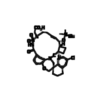 CC(C)(C)[Si](C)(C)O[C@H]1/C=C/CCN(CC(=O)O)S(=O)(=O)NC(=O)c2ccc3c(c2)N(C[C@@H]2CC[C@H]21)C[C@@]1(CCCc2cc(Cl)ccc21)CO3